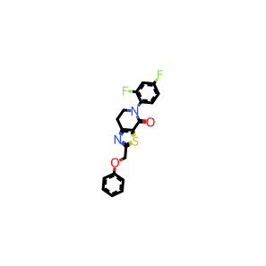 O=C1c2sc(COc3ccccc3)nc2CCN1c1ccc(F)cc1F